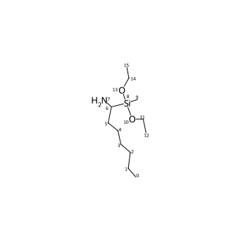 CCCCCCC(N)[Si](C)(OCC)OCC